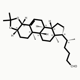 C[C@H](CCCC=O)[C@H]1CC[C@H]2[C@@H]3CC=C4[C@H]5OC(C)(C)O[C@H]5CC[C@]4(C)[C@H]3CC[C@]12C